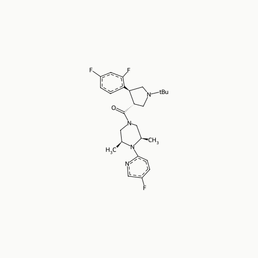 C[C@@H]1CN(C(=O)[C@H]2CN(C(C)(C)C)C[C@@H]2c2ccc(F)cc2F)C[C@H](C)N1c1ccc(F)cn1